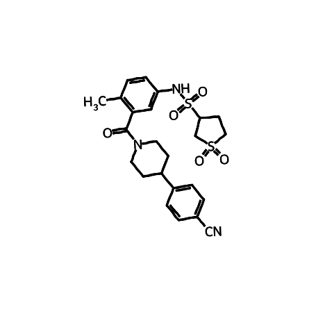 Cc1ccc(NS(=O)(=O)C2CCS(=O)(=O)C2)cc1C(=O)N1CCC(c2ccc(C#N)cc2)CC1